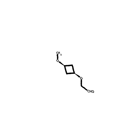 O=CCO[C@H]1C[C@@H](OC(F)(F)F)C1